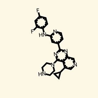 Fc1ccc(Nc2cc(-c3nc(N4CCNCC4)c4c(C5CC5)cncc4n3)ccn2)c(F)c1